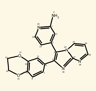 Nc1cc(-c2c(-c3ccc4c(c3)OCCO4)nc3ncccn23)ccn1